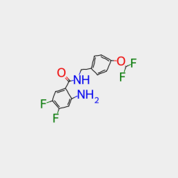 Nc1cc(F)c(F)cc1C(=O)NCc1ccc(OC(F)F)cc1